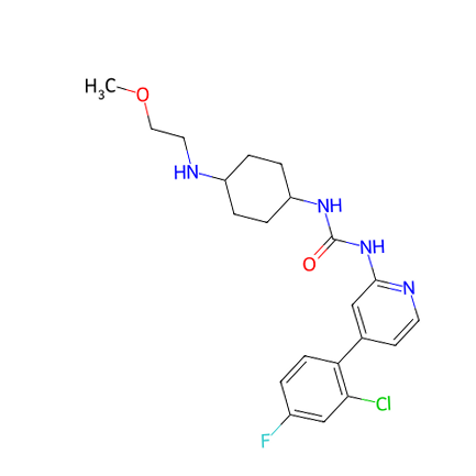 COCCNC1CCC(NC(=O)Nc2cc(-c3ccc(F)cc3Cl)ccn2)CC1